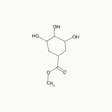 COC(=O)C1CC(O)C(O)C(O)C1